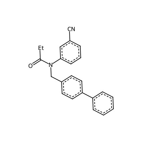 CCC(=O)N(Cc1ccc(-c2ccccc2)cc1)c1cccc(C#N)c1